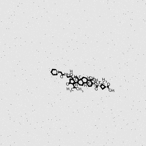 CC(C)C1=C2[C@H]3CC[C@@H]4[C@@]5(C)CC[C@H](OC(=O)[C@H]6C[C@@H](C(=O)O)C6(C)C)C(C)(C)[C@@H]5CC[C@@]4(C)[C@]3(C)CC[C@@]2([C@@H](O)CNC(=O)CN2CCCCC2)CC1=O